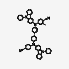 Cc1cc(N(c2ccc(-c3ccc(N(c4ccc(C#N)cc4)c4ccc5c(c4)c4ccccc4n5-c4ccccc4)cc3)cc2)c2ccc3c(c2)c2ccccc2n3-c2ccccc2)ccc1C#N